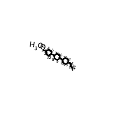 COCc1ccc(C2CCC(C3CCC(C=CF)CC3)CC2)cc1